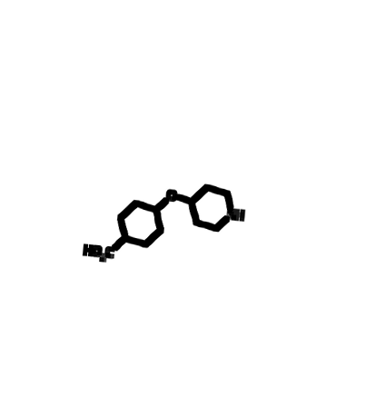 O=C(O)C1CCC(OC2CCNCC2)CC1